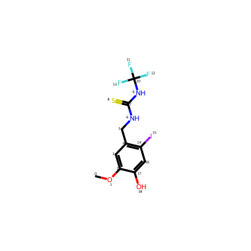 COc1cc(CNC(=S)NC(F)(F)F)c(I)cc1O